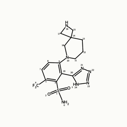 NS(=O)(=O)c1c(C(F)(F)F)ccc(N2CCCC3(CNC3)C2)c1-c1nnn[nH]1